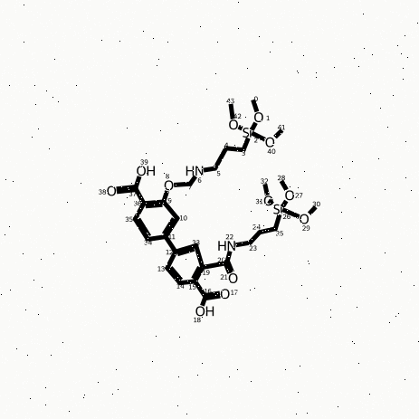 CO[Si](CCCNCOc1cc(-c2ccc(C(=O)O)c(C(=O)NCCC[Si](OC)(OC)OC)c2)ccc1C(=O)O)(OC)OC